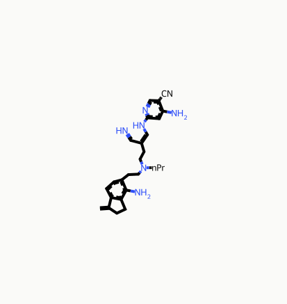 C=C1CCc2c1ccc(CCN(CCC)CC/C(C=N)=C/Nc1cc(N)c(C#N)cn1)c2N